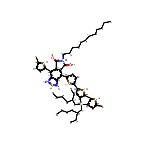 CCCCCCCCCCCCN1C(=O)c2c(c(-c3ccc(-c4cc5c(s4)-c4sc(C)cc4[Si]5(CC(CC)CCCC)CC(CC)CCCC)s3)c3nsnc3c2-c2ccc(C)s2)C1=O